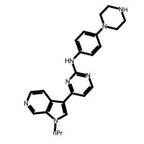 CCCn1cc(-c2ccnc(Nc3ccc(N4CCNCC4)cc3)n2)c2ccncc21